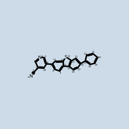 N#Cc1cncc(-c2ccc3c(c2)sc2cc(-c4ccccc4)ccc23)c1